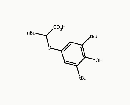 CCCCC(Oc1cc(C(C)(C)C)c(O)c(C(C)(C)C)c1)C(=O)O